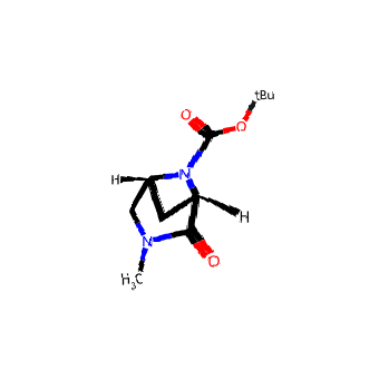 CN1C[C@H]2C[C@@H](C1=O)N2C(=O)OC(C)(C)C